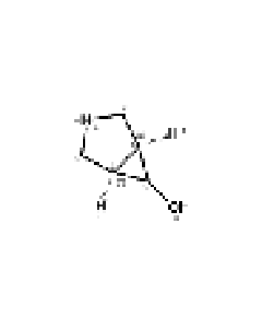 OC1[C@H]2CNC[C@@H]12